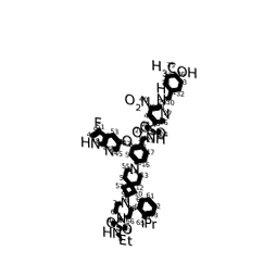 CCNS(=O)(=O)N1CCN(C2CC3(CCN(c4ccc(C(=O)NS(=O)(=O)c5cnc(NCC6CCC(C)(O)CC6)c([N+](=O)[O-])c5)c(Oc5cnc6[nH]cc(F)c6c5)c4)CC3)C2)[C@H](c2ccccc2C(C)C)C1